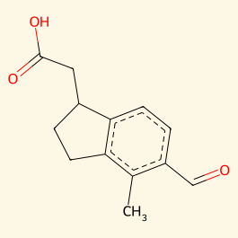 Cc1c(C=O)ccc2c1CCC2CC(=O)O